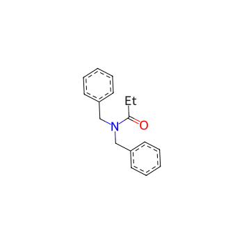 [CH2]CC(=O)N(Cc1ccccc1)Cc1ccccc1